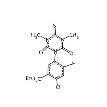 CCOC(=O)c1cc(-n2c(=O)n(C)c(=S)n(C)c2=O)c(F)cc1Cl